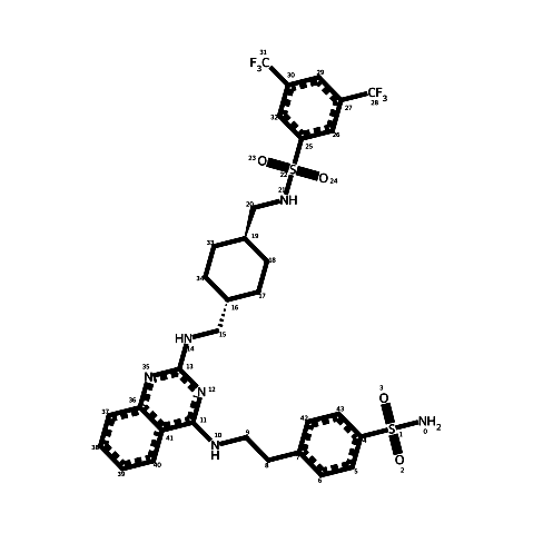 NS(=O)(=O)c1ccc(CCNc2nc(NC[C@H]3CC[C@H](CNS(=O)(=O)c4cc(C(F)(F)F)cc(C(F)(F)F)c4)CC3)nc3ccccc23)cc1